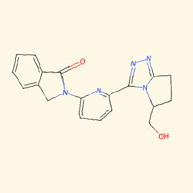 O=C1c2ccccc2CN1c1cccc(-c2nnc3n2C(CO)CC3)n1